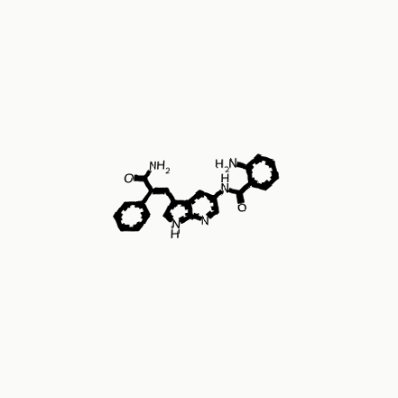 NC(=O)/C(=C/c1c[nH]c2ncc(NC(=O)c3ccccc3N)cc12)c1ccccc1